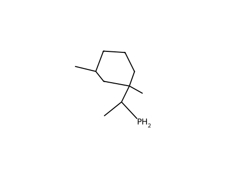 CC1CCCC(C)(C(C)P)C1